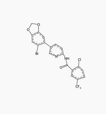 O=C(Nc1ccc(-c2cc3c(cc2Br)OCO3)cn1)c1cc(C(F)(F)F)ccc1Cl